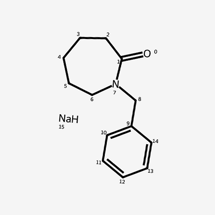 O=C1CCCCCN1Cc1ccccc1.[NaH]